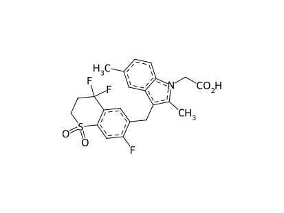 Cc1ccc2c(c1)c(Cc1cc3c(cc1F)S(=O)(=O)CCC3(F)F)c(C)n2CC(=O)O